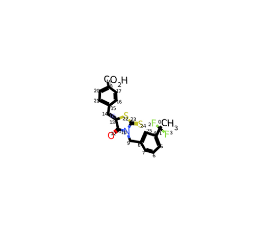 CC(F)(F)c1cccc(CN2C(=O)/C(=C/c3ccc(C(=O)O)cc3)SC2=S)c1